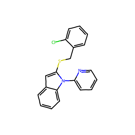 Clc1ccccc1CSc1cc2ccccc2n1-c1ccccn1